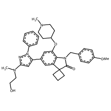 COc1ccc(CN2C(=O)C3(CCC3)c3cc(-c4cc(N(C)CCO)nn4-c4ccccc4)cc(OC4CCN(C)CC4)c32)cc1